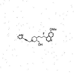 COc1ccc2nccc([C@@H](F)CC[C@@H]3CCN(CC#Cc4cscn4)C[C@@H]3CO)c2c1